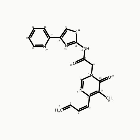 C=C/C=C\c1ncn(CC(=O)Nc2nc(-c3ccccn3)cs2)c(=O)c1C